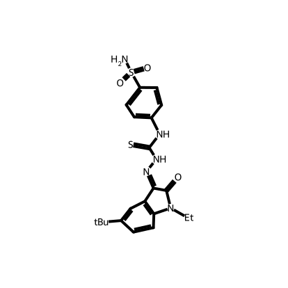 CCN1C(=O)C(=NNC(=S)Nc2ccc(S(N)(=O)=O)cc2)c2cc(C(C)(C)C)ccc21